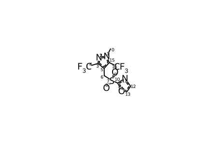 Cn1nc(C(F)(F)F)c(CS(=O)(=O)c2ncco2)c1C(F)(F)F